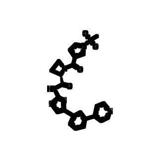 CS(=O)(=O)n1ccc(C(=O)N2CC[C@H]2C(=O)Nc2nc(-c3cccc(-c4ccncc4)c3)cs2)c1